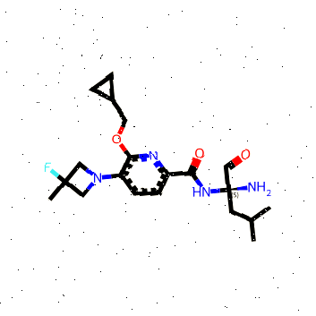 CC(C)C[C@@](N)(C=O)NC(=O)c1ccc(N2CC(C)(F)C2)c(OCC2CC2)n1